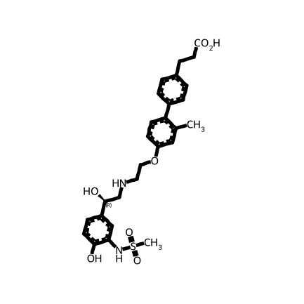 Cc1cc(OCCNC[C@H](O)c2ccc(O)c(NS(C)(=O)=O)c2)ccc1-c1ccc(CCC(=O)O)cc1